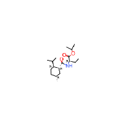 CC[C@@H](NC(=O)[C@@H]1C[C@H](C)CC[C@H]1C(C)C)C(=O)OC(C)C